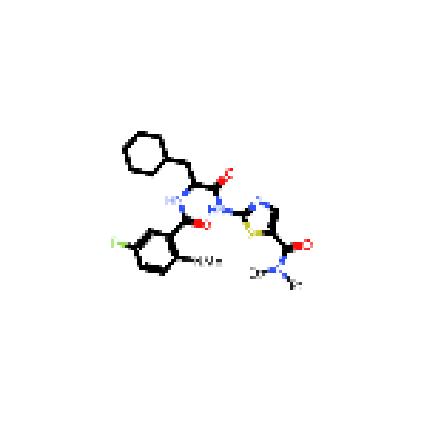 CCN(CC)C(=O)c1cnc(NC(=O)C(CC2CCCCC2)NC(=O)c2cc(F)ccc2NC)s1